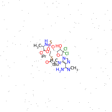 C=Nc1c(/C(N)=N\C)ncn1[C@@H]1O[C@H](CO[P@](=S)(N[C@H](C)C(=O)OC(C)C)OCCSC(=O)C(C)(C)C)[C@@H](O)C1(Cl)Cl